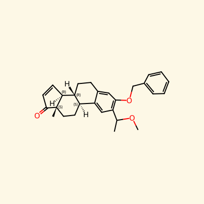 COC(C)c1cc2c(cc1OCc1ccccc1)CC[C@@H]1[C@@H]2CC[C@]2(C)C(=O)C=C[C@@H]12